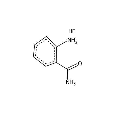 F.NC(=O)c1ccccc1N